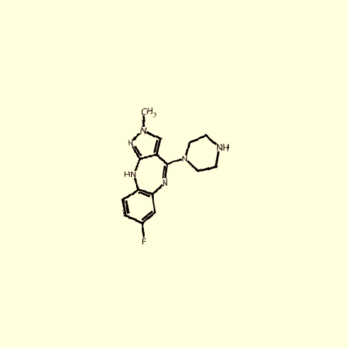 Cn1cc2c(n1)Nc1ccc(F)cc1N=C2N1CCNCC1